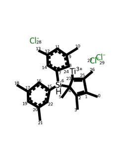 CC1=C(C)C(C)([SiH](c2cc(C)cc(C)c2)c2cc(C)cc(C)c2)[C]([Ti+3])=C1C.[Cl-].[Cl-].[Cl-]